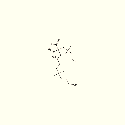 CCCC(C)(C)CC(SCCCC(C)(C)CCCO)(C(=O)O)C(=O)O